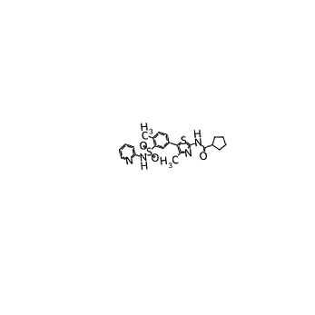 Cc1ccc(-c2sc(NC(=O)C3CCCC3)nc2C)cc1S(=O)(=O)Nc1ccccn1